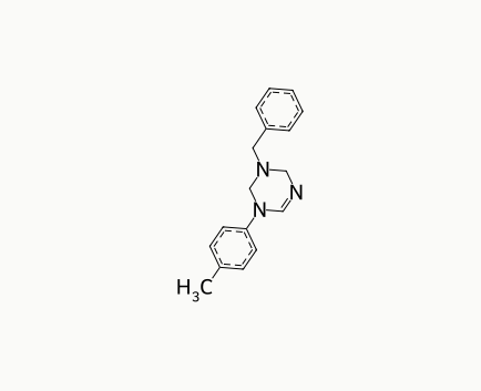 Cc1ccc(N2C=NCN(Cc3ccccc3)C2)cc1